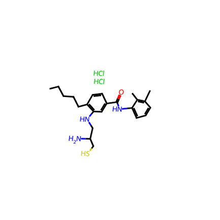 CCCCCc1ccc(C(=O)Nc2cccc(C)c2C)cc1NCC(N)CS.Cl.Cl